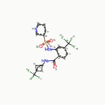 O=C(NC12CC(C(F)(F)F)(C1)C2)c1ccc(C(F)(F)F)cc1NS(=O)(=O)c1cccnc1